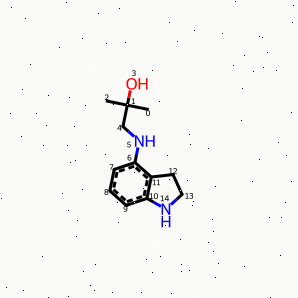 CC(C)(O)CNc1cccc2c1CCN2